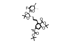 C[C@H](O)[C@H](C)/C=C(/F)C[C@H]1OC(C)(C)O[C@H]1C/C=C/c1cc(N(C)C(=O)OC(C)(C)C)cc2c1C(=O)OC(C)(C)O2